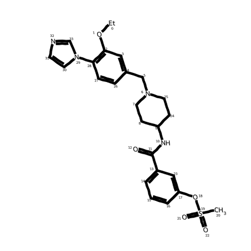 CCOc1cc(CN2CCC(NC(=O)c3cccc(OS(C)(=O)=O)c3)CC2)ccc1-n1ccnc1